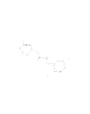 CCS(=O)(=O)c1ccc(O)c(NC(=O)C(=O)Nc2cc(Cl)cc(Cl)c2O)c1